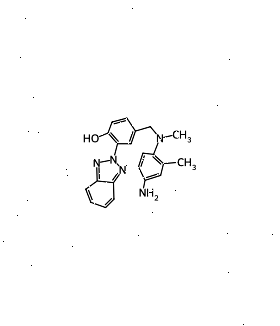 Cc1cc(N)ccc1N(C)Cc1ccc(O)c(-n2nc3ccccc3n2)c1